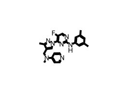 Cc1cc(C)cc(Nc2ncc(F)c(-n3cc(CN(C)c4ccncc4)c(C)n3)n2)c1